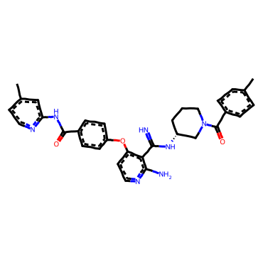 Cc1ccc(C(=O)N2CCC[C@@H](NC(=N)c3c(Oc4ccc(C(=O)Nc5cc(C)ccn5)cc4)ccnc3N)C2)cc1